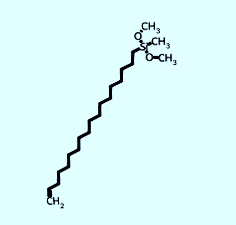 C=CCCCCCCCCCCCCCCCC[Si](C)(OC)OC